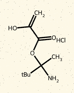 C=C(O)C(=O)OC(C)(N)C(C)(C)C.Cl